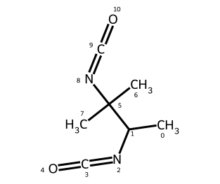 CC(N=C=O)C(C)(C)N=C=O